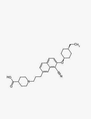 CC[C@H]1CC[C@@H](Oc2ccc3ccc(CCCN4CCC(C(=O)O)CC4)cc3c2C#N)CC1